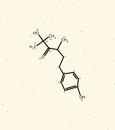 CC(CCc1ccc(O)cc1)C(=O)C(C)(C)O